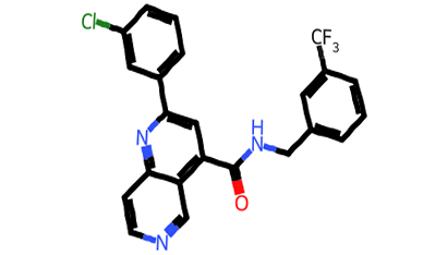 O=C(NCc1cccc(C(F)(F)F)c1)c1cc(-c2cccc(Cl)c2)nc2ccncc12